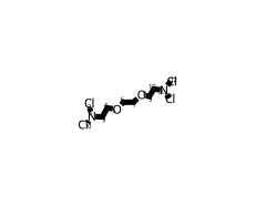 ClN(Cl)CCOCCOCCN(Cl)Cl